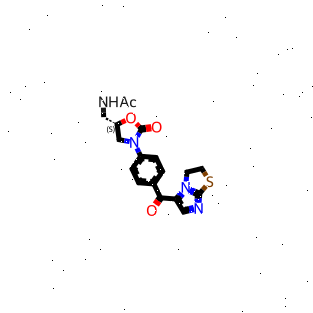 CC(=O)NC[C@H]1CN(c2ccc(C(=O)c3cnc4n3CCS4)cc2)C(=O)O1